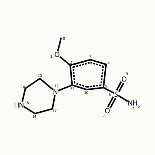 COc1ccc(S(N)(=O)=O)cc1N1CCNCC1